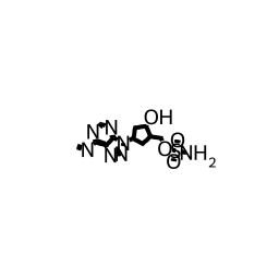 C=Nc1ncnc2c1nnn2C1CC(O)C(COS(N)(=O)=O)C1